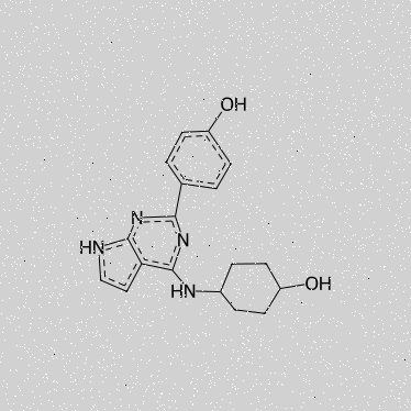 Oc1ccc(-c2nc(NC3CCC(O)CC3)c3cc[nH]c3n2)cc1